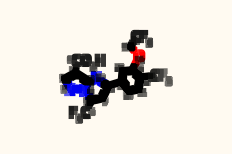 O=C(O)c1cnn2c(C(F)(F)F)cc(-c3ccc(C(F)(F)F)c(OCC(F)(F)F)c3)nc12